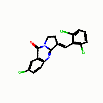 O=c1c2cc(Cl)ccc2nc2n1CCC2=Cc1c(Cl)cccc1Cl